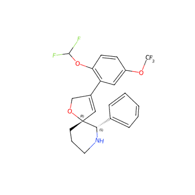 FC(F)Oc1ccc(OC(F)(F)F)cc1C1=C[C@@]2(CCCN[C@H]2c2ccccc2)OC1